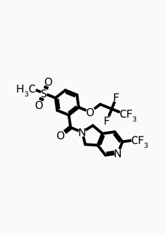 CS(=O)(=O)c1ccc(OCC(F)(F)C(F)(F)F)c(C(=O)N2Cc3cnc(C(F)(F)F)cc3C2)c1